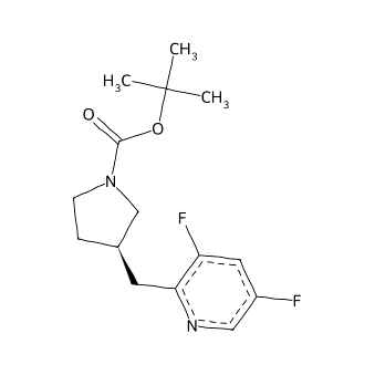 CC(C)(C)OC(=O)N1CC[C@H](Cc2ncc(F)cc2F)C1